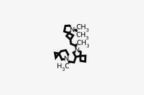 CC(CC1CN(C(C)CC2CC3(CCCN3C(C)C)C2)CC12CCC2)N1CCCC2(CC2)C1